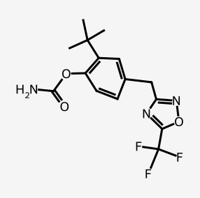 CC(C)(C)c1cc(Cc2noc(C(F)(F)F)n2)ccc1OC(N)=O